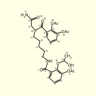 CC(=O)Oc1cccc(C(=O)NCCCCCN(CC(N)=O)C(=O)c2cccc(OC(C)=O)c2OC(C)=O)c1OC(C)O